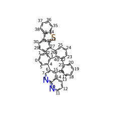 c1ccc2c(c1)-c1cnc3ncccc3c1-c1ccccc1-c1cccc(-c3cccc4c3sc3ccccc34)c1-2